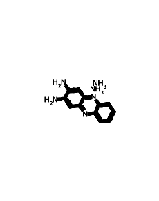 N.N.Nc1cc2nc3ccccc3nc2cc1N